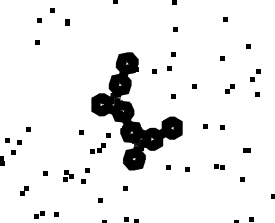 c1ccc(-c2ccc(-n3c4ccccc4c4cc(-c5ccc6c(c5)c5cc(-c7ccccc7)ccc5n6-c5ccccc5)ccc43)cc2)cc1